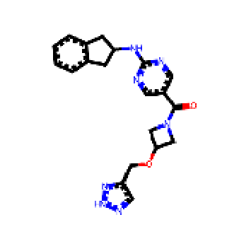 O=C(c1cnc(NC2Cc3ccccc3C2)nc1)N1CC(OCc2cn[nH]n2)C1